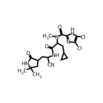 CN(C(=O)c1nc(Cl)c(Cl)[nH]1)C(CC1CC1)C(=O)NC(C#N)CC1CC(C)(C)NC1=O